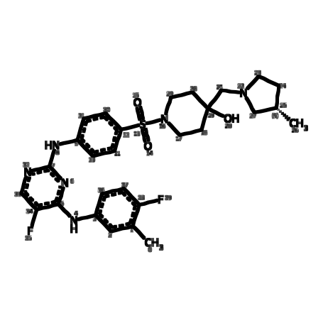 Cc1cc(Nc2nc(Nc3ccc(S(=O)(=O)N4CCC(O)(CN5CC[C@H](C)C5)CC4)cc3)ncc2F)ccc1F